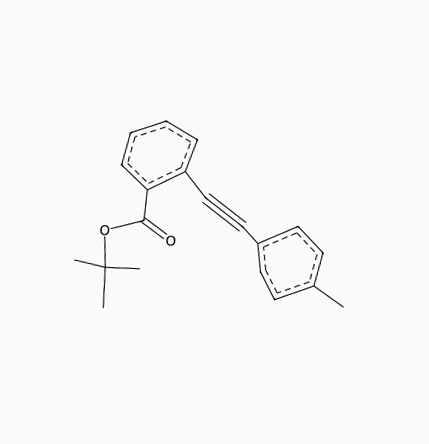 Cc1ccc(C#Cc2ccccc2C(=O)OC(C)(C)C)cc1